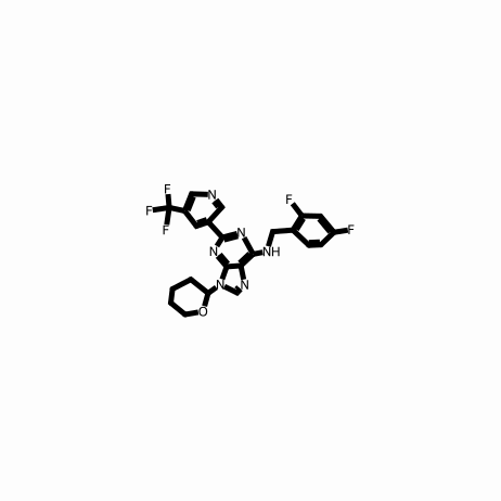 Fc1ccc(CNc2nc(-c3cncc(C(F)(F)F)c3)nc3c2ncn3C2CCCCO2)c(F)c1